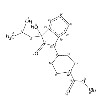 CC(O)CC1(O)C(=O)N(C2CCN(C(=O)OC(C)(C)C)CC2)c2ccccc21